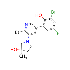 CCc1ncc(-c2cc(F)cc(Br)c2O)cc1N1CC[C@@](C)(O)C1